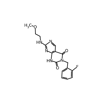 COCCNc1ncc2c(=O)n(Cc3ccccc3F)c(=O)[nH]c2n1